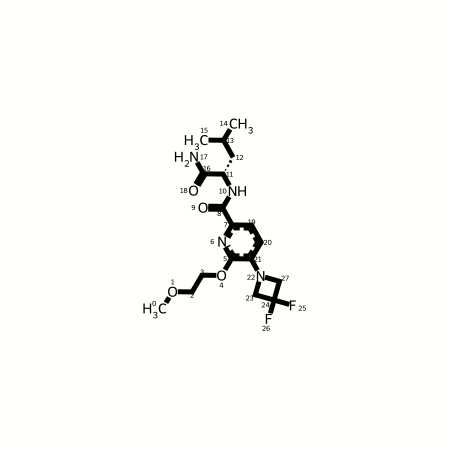 COCCOc1nc(C(=O)N[C@@H](CC(C)C)C(N)=O)ccc1N1CC(F)(F)C1